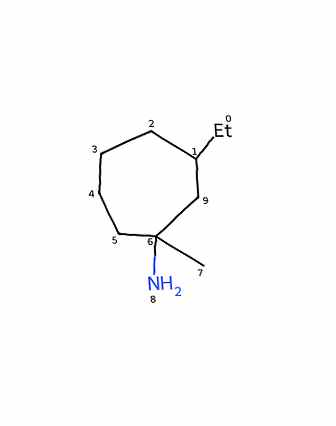 CCC1CCCCC(C)(N)C1